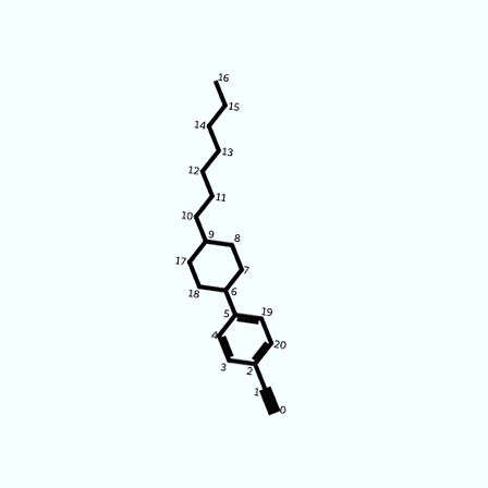 C#Cc1ccc(C2CCC(CCCCCCC)CC2)cc1